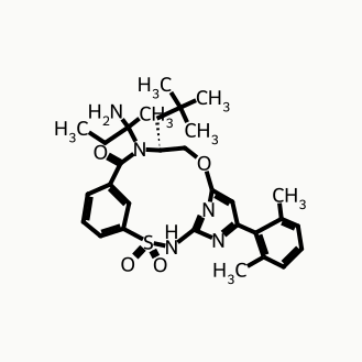 CCC(C)(N)N1C(=O)c2cccc(c2)S(=O)(=O)Nc2nc(cc(-c3c(C)cccc3C)n2)OC[C@H]1CC(C)(C)C